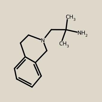 CC(C)(N)CN1CCc2ccccc2C1